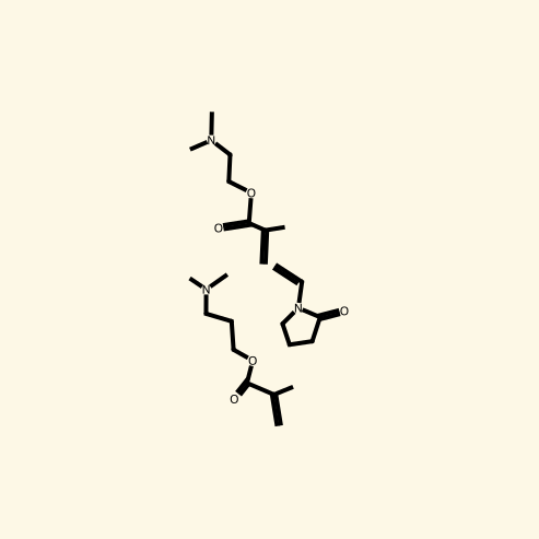 C=C(C)C(=O)OCCCN(C)C.C=C(C)C(=O)OCCN(C)C.C=CN1CCCC1=O